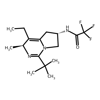 CCC1=C2C[C@H](NC(=O)C(F)(F)F)CN2C(C(C)(C)C)=N[C@H]1C